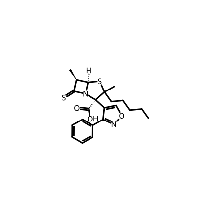 CCCCCC1(C)S[C@@H]2[C@H](C)C(=S)N2[C@]1(C(=O)O)c1conc1-c1ccccc1